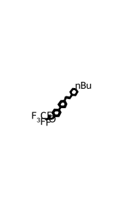 CCCCC1CCC(C=Cc2ccc(-c3ccc(OC(F)(F)C(F)C(F)(F)F)cc3)cc2)CC1